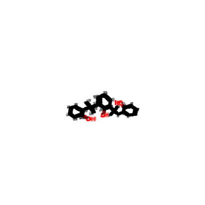 CC(C)(Cc1ccccc1O)c1cccc(C(C)(C)c2ccccc2O)c1O